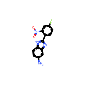 Nc1ccc2[nH]c(-c3ccc(F)cc3[N+](=O)[O-])nc2c1